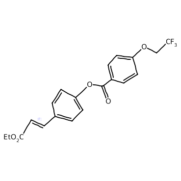 CCOC(=O)/C=C/c1ccc(OC(=O)c2ccc(OCC(F)(F)F)cc2)cc1